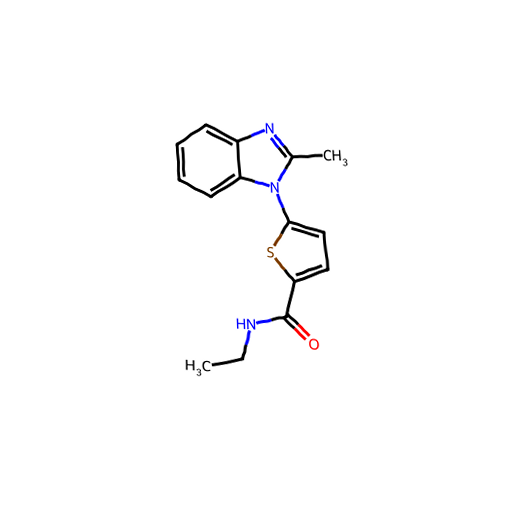 CCNC(=O)c1ccc(-n2c(C)nc3ccccc32)s1